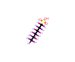 O=S(=O)(O)C(I)(I)C(I)(I)C(I)(I)C(I)(I)C(I)(I)C(I)(I)I